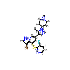 Cc1c(-c2cc(Sc3ncccc3F)c3c(Br)cnn3c2)cnn1C1CCN(C)CC1